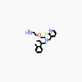 C/C=C(/CN(CCOCCNC)Cc1cccnc1F)c1ccccc1C